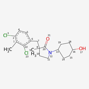 Cc1c(Cl)ccc(CC2(C)CCN(C3CCC(O)CC3)C2=O)c1Cl